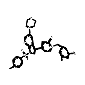 Cc1ccc(S(=O)(=O)n2cc(-c3ccn(Cc4cc(F)cc(Br)c4)c(=O)c3)c3cc(N4CCOCC4)cnc32)cc1